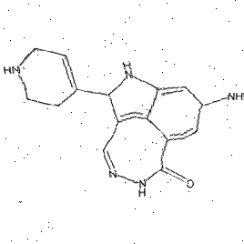 NC1C=C2NC(C3=CCNCC3)C3=C2C(=C1)C(=O)NN=C3